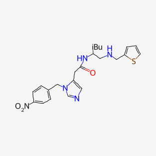 CCC(C)C(CNCc1cccs1)NC(=O)Cc1cncn1Cc1ccc([N+](=O)[O-])cc1